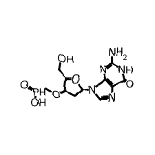 Nc1nc2c(ncn2[C@H]2CC(OC[PH](=O)O)[C@@H](CO)O2)c(=O)[nH]1